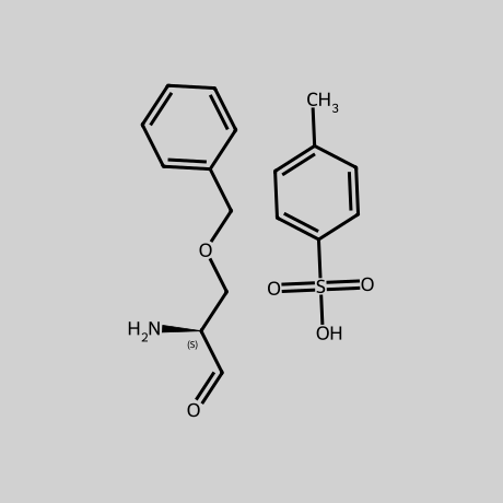 Cc1ccc(S(=O)(=O)O)cc1.N[C@H](C=O)COCc1ccccc1